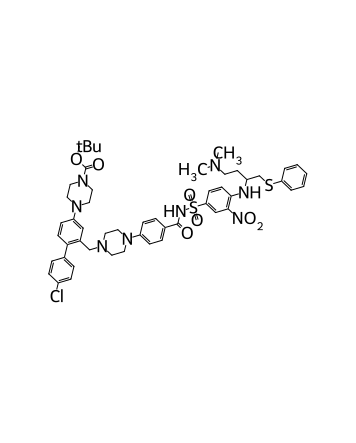 CN(C)CCC(CSc1ccccc1)Nc1ccc(S(=O)(=O)NC(=O)c2ccc(N3CCN(Cc4cc(N5CCN(C(=O)OC(C)(C)C)CC5)ccc4-c4ccc(Cl)cc4)CC3)cc2)cc1[N+](=O)[O-]